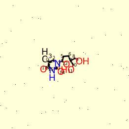 Cc1cn([C@H]2CCC(CO)(CO)O2)c(=O)[nH]c1=O